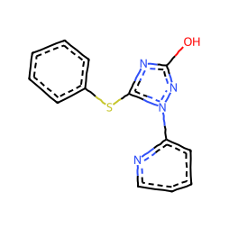 Oc1nc(Sc2ccccc2)n(-c2ccccn2)n1